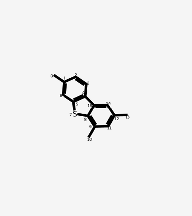 Cc1ccc2c(c1)sc1c(C)cc(C)cc12